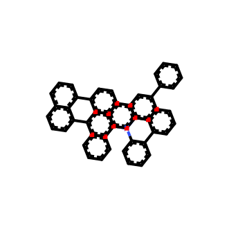 c1ccc(-c2ccc(N(c3ccc(-c4cccc5cccc(-c6ccccc6)c45)cc3)c3ccccc3-c3ccccc3-c3cccc(-c4ccccc4)c3)cc2)cc1